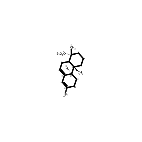 CCOC(=O)[C@]1(C)CCC[C@@]2(C)C1CC=C1C=C(C(C)C)CC[C@@H]12